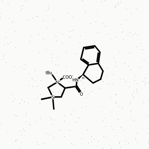 CC(C)(C)[N+]1(C(=O)[O-])C[Si](C)(C)CC1C(=O)N[C@@H]1CCCc2ccccc21